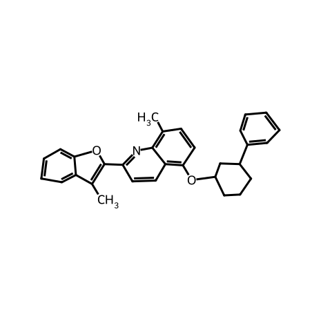 Cc1c(-c2ccc3c(OC4CCCC(c5ccccc5)C4)ccc(C)c3n2)oc2ccccc12